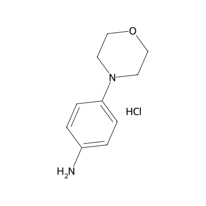 Cl.Nc1ccc(N2CCOCC2)cc1